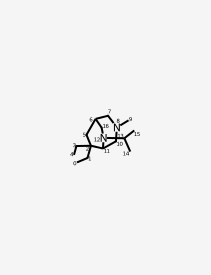 CCC1(CC)CC2CN(C)CC1N(C(C)C)C2